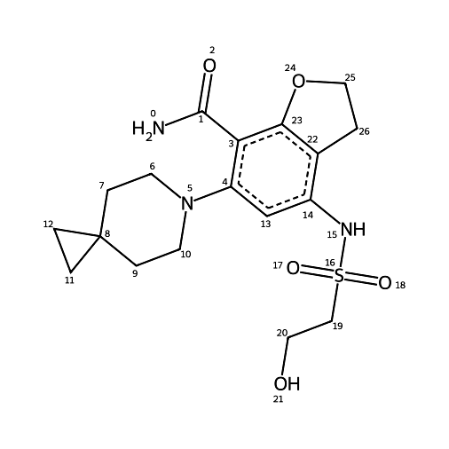 NC(=O)c1c(N2CCC3(CC2)CC3)cc(NS(=O)(=O)CCO)c2c1OCC2